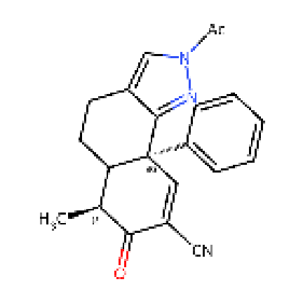 CC(=O)n1cc2c(n1)[C@@]1(c3ccccc3)C=C(C#N)C(=O)[C@@H](C)C1CC2